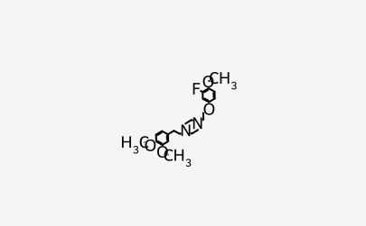 COc1ccc(OCCN2CCN(CCc3ccc(OC)c(OC)c3)CC2)cc1F